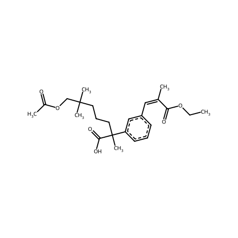 CCOC(=O)C(C)=Cc1cccc(C(C)(CCCC(C)(C)COC(C)=O)C(=O)O)c1